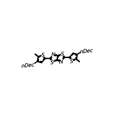 CCCCCCCCCCc1cc(-c2nc3sc(-c4cc(CCCCCCCCCC)c(C)s4)nc3s2)sc1C